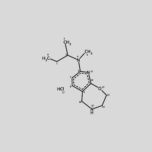 CCC(C)N(C)c1ccc2c(n1)OCCNC2.Cl